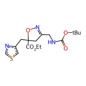 CCOC(=O)C1(Cc2cscn2)CC(CNC(=O)OC(C)(C)C)=NO1